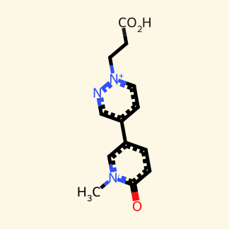 Cn1cc(-c2cc[n+](CCC(=O)O)nc2)ccc1=O